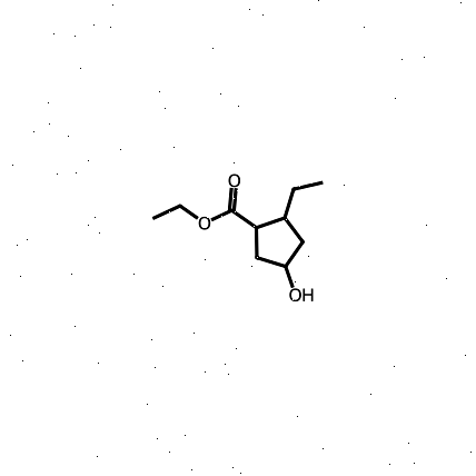 CCOC(=O)C1CC(O)CC1CC